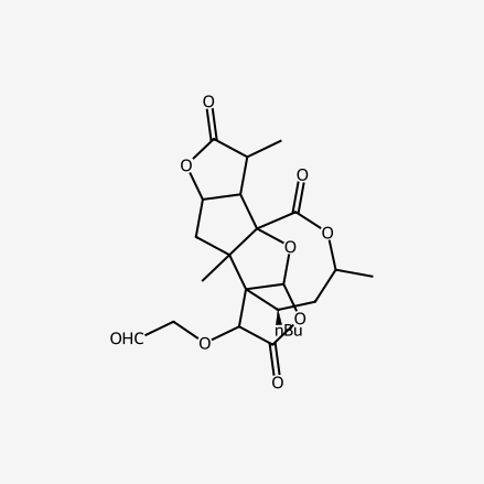 CCCC[C@@H]1CC(C)OC(=O)C23OC4OC(=O)C(OCC=O)C41C2(C)CC1OC(=O)C(C)C13